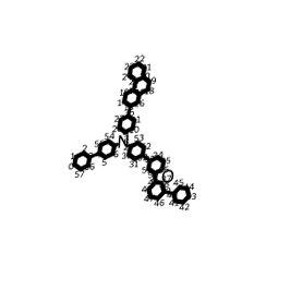 c1ccc(-c2ccc(N(c3ccc(-c4ccc5c(ccc6ccccc65)c4)cc3)c3ccc(-c4ccc5oc6c(-c7ccccc7)cccc6c5c4)cc3)cc2)cc1